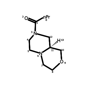 CCCC(=O)N1CCN2CCOC[C@@H]2C1